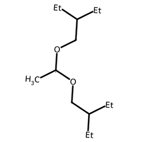 CCC(CC)CO[C](C)OCC(CC)CC